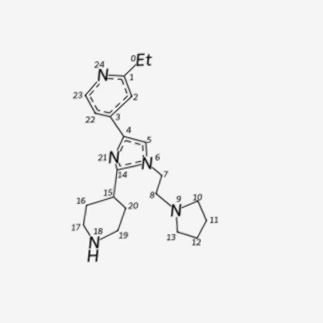 CCc1cc(-c2cn(CCN3CCCC3)c(C3CCNCC3)n2)ccn1